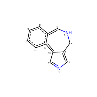 C1=NC=C2CNC=c3ccccc3=C12